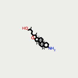 C[C@H](CO)CCC1OC2C[C@H]3[C@@H]4CC[C@@H]5C[C@@H](N)CC[C@]5(C)[C@H]4CC[C@]3(C)C2[C@@H]1C